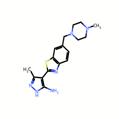 Cc1n[nH]c(N)c1-c1nc2ccc(CN3CCN(C)CC3)cc2s1